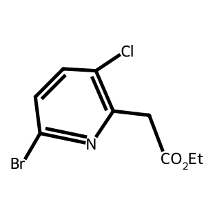 CCOC(=O)Cc1nc(Br)ccc1Cl